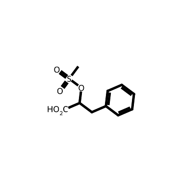 CS(=O)(=O)OC(Cc1ccccc1)C(=O)O